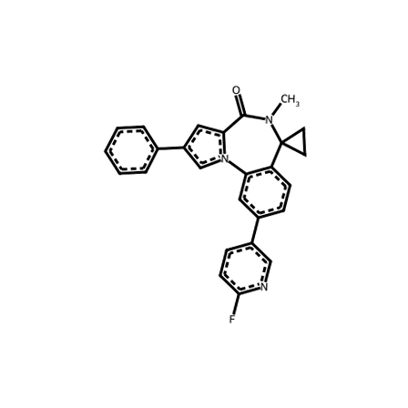 CN1C(=O)c2cc(-c3ccccc3)cn2-c2cc(-c3ccc(F)nc3)ccc2C12CC2